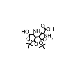 CC(C)(C)OC(=O)C(CC(N)C(=O)O)C(C(=O)OC(C)(C)C)C(N)C(=O)O